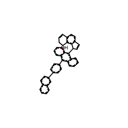 OC1CC=Cc2ccc3c(c21)C(c1c2ccccc2c(-c2ccc(-c4ccc5ccccc5c4)cc2)c2ccccc12)C=C3